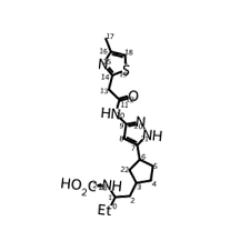 CCC(CC1CCC(c2cc(NC(=O)Cc3nc(C)cs3)n[nH]2)C1)NC(=O)O